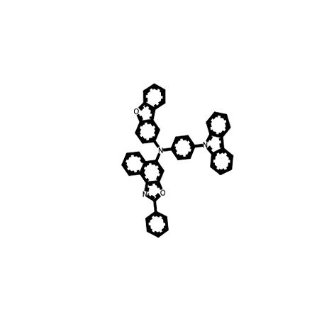 c1ccc(-c2nc3c(cc(N(c4ccc(-n5c6ccccc6c6ccccc65)cc4)c4ccc5oc6ccccc6c5c4)c4ccccc43)o2)cc1